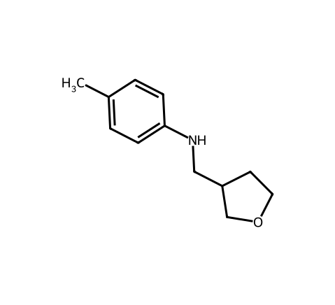 Cc1ccc(NCC2CCOC2)cc1